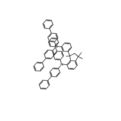 CC1(C)CC(C)(c2cccc(N(c3ccc(-c4ccccc4)cc3)c3ccc(-c4ccccc4)cc3)c2)c2c(N(c3ccc(-c4ccccc4)cc3)c3ccc(-c4ccccc4)cc3)cccc21